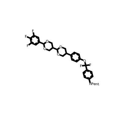 CCCCCc1ccc(C(F)(F)Oc2ccc(C3COC(C4COC(c5cc(F)c(F)c(F)c5)OC4)OC3)cc2)cc1